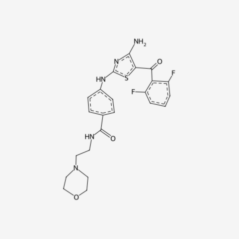 Nc1nc(Nc2ccc(C(=O)NCCN3CCOCC3)cc2)sc1C(=O)c1c(F)cccc1F